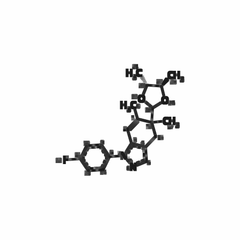 CC1=Cc2c(cnn2-c2ccc(F)cc2)CC1(C)C1O[C@H](C)[C@@H](C)O1